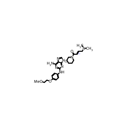 COCCOc1ccc(Nc2nc(N)c3ncn([C@H]4CCCN(C(=O)/C=C/CN(C)C)C4)c3n2)cc1